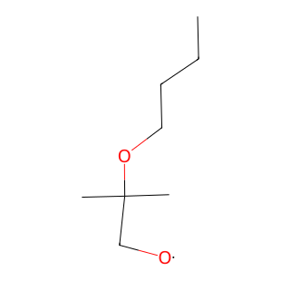 CCCCOC(C)(C)C[O]